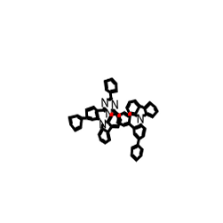 c1ccc(-c2ccc(-n3c4ccccc4c4ccccc43)c(-c3ccc(-c4nc(-c5ccccc5)nc(-c5ccc(-c6ccccc6)cc5-n5c6ccccc6c6ccccc65)n4)cc3)c2)cc1